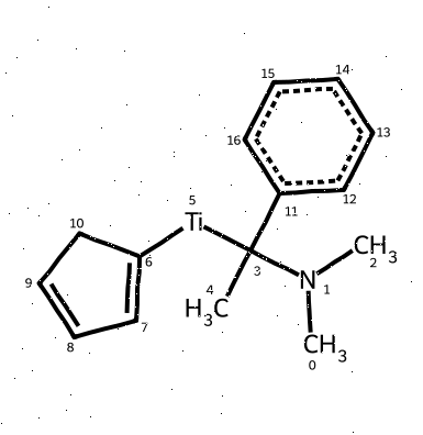 CN(C)[C](C)([Ti][C]1=CC=CC1)c1ccccc1